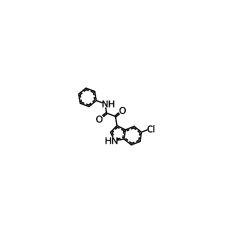 O=C(Nc1ccccc1)C(=O)c1c[nH]c2ccc(Cl)cc12